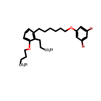 CCOC(=O)CCCOc1cccc(CCCCCCOc2cc(Br)cc(Br)c2)c1CCC(=O)OCC